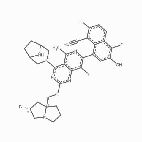 C#Cc1c(F)ccc2c(F)c(O)cc(-c3nc(C)c4c(N5CC6CCC(C5)N6)nc(OC[C@@]56CCCN5C[C@H](F)C6)nc4c3F)c12